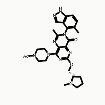 CC(=O)N1CCN(c2nc(OC[C@@H]3CCCN3C)nc3c(=O)n(-c4c(C)ccc5[nH]ncc45)c(C)nc23)CC1